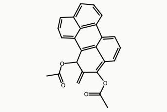 C=C1C(OC(C)=O)=c2cccc3c2c(c2cccc4cccc3c42)C1OC(C)=O